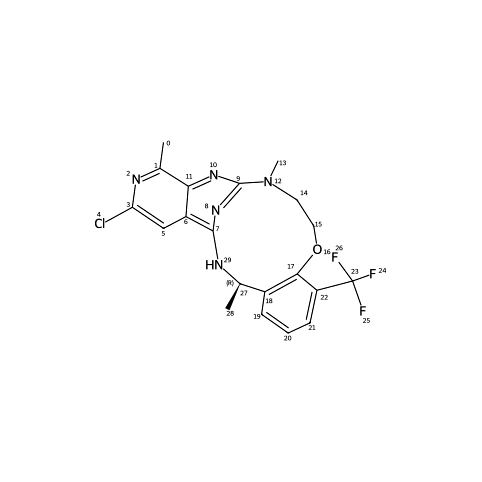 Cc1nc(Cl)cc2c3nc(nc12)N(C)CCOc1c(cccc1C(F)(F)F)[C@@H](C)N3